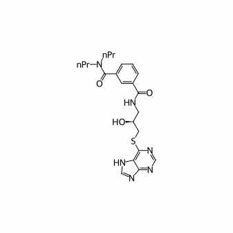 CCCN(CCC)C(=O)c1cccc(C(=O)NC[C@H](O)CSc2ncnc3nc[nH]c23)c1